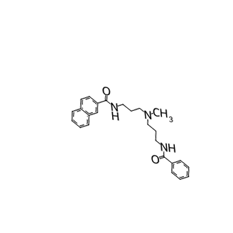 CN(CCCNC(=O)c1ccccc1)CCCNC(=O)c1ccc2ccccc2c1